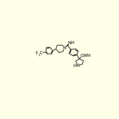 COC1(c2ccc(C(=N)N3CCC(c4ccc(C(F)(F)F)cc4)CC3)cc2)CCNC1